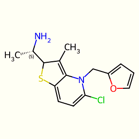 CC1=C2C(=CC=C(Cl)N2Cc2ccco2)SC1[C@H](C)N